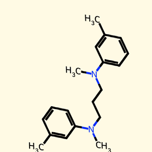 Cc1cccc(N(C)CCCN(C)c2cccc(C)c2)c1